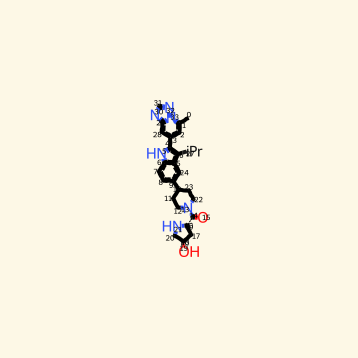 Cc1cc(-c2[nH]c3ccc(C4CCN(C(=O)[C@@H]5C[C@@H](O)CN5)CC4)cc3c2C(C)C)cc2ncnn12